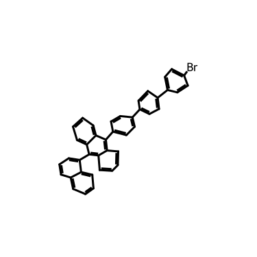 Brc1ccc(-c2ccc(-c3ccc(-c4c5ccccc5c(-c5cccc6ccccc56)c5ccccc45)cc3)cc2)cc1